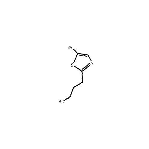 CC(C)CCCc1ncc(C(C)C)s1